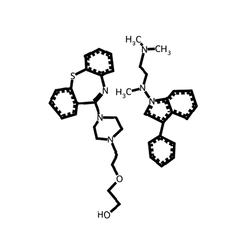 CN(C)CCN(C)n1cc(-c2ccccc2)c2ccccc21.OCCOCCN1CCN(C2=Nc3ccccc3Sc3ccccc32)CC1